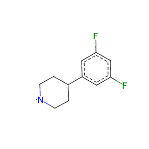 Fc1cc(F)cc(C2CC[N]CC2)c1